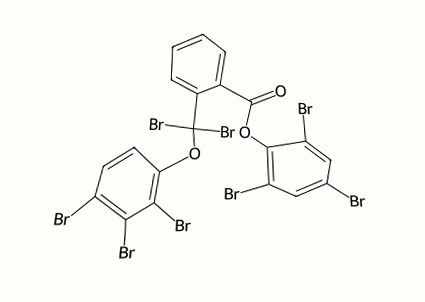 O=C(Oc1c(Br)cc(Br)cc1Br)c1ccccc1C(Br)(Br)Oc1ccc(Br)c(Br)c1Br